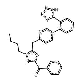 CCCCn1nc(C(=O)c2ccccc2)nc1Cc1ccc(-c2ccccc2-c2nnn[nH]2)cn1